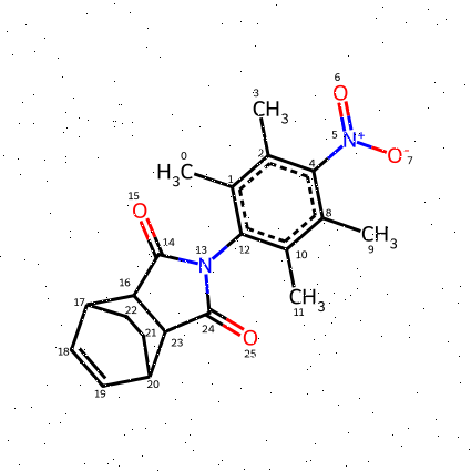 Cc1c(C)c([N+](=O)[O-])c(C)c(C)c1N1C(=O)C2C3C=CC(CC3)C2C1=O